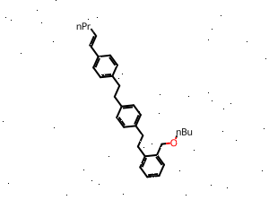 CCCC=Cc1ccc(CCc2ccc(CCc3ccccc3COCCCC)cc2)cc1